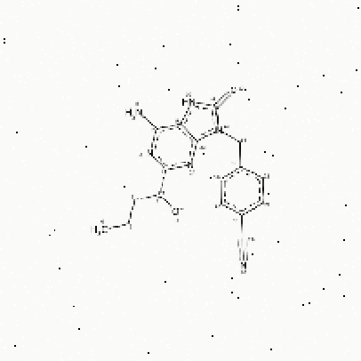 CCC[S+]([O-])c1nc(N)c2[nH]c(=O)n(Cc3ccc(C#N)cc3)c2n1